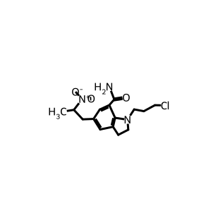 CC(Cc1cc2c(c(C(N)=O)c1)N(CCCCl)CC2)[N+](=O)[O-]